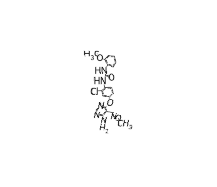 CON=Cc1c(N)ncnc1Oc1ccc(NC(=O)Nc2ccccc2OC)c(Cl)c1